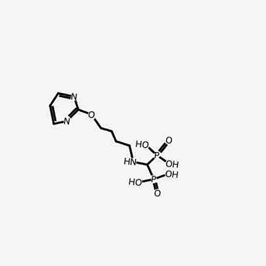 O=P(O)(O)C(NCCCCOc1ncccn1)P(=O)(O)O